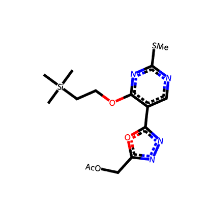 CSc1ncc(-c2nnc(COC(C)=O)o2)c(OCC[Si](C)(C)C)n1